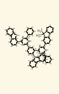 CC1(C)c2ccccc2-c2ccc(-c3nc(-c4ccccc4)nc(-c4cc(-c5nc(-c6ccccc6)nc(-c6cccc7c6sc6ccccc67)n5)ccc4-n4c5ccccc5c5ccccc54)n3)cc21